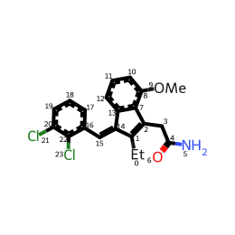 CCC1=C(CC(N)=O)c2c(OC)cccc2C1=Cc1cccc(Cl)c1Cl